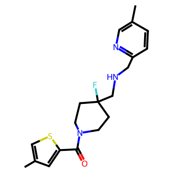 Cc1ccc(CNCC2(F)CCN(C(=O)c3cc(C)cs3)CC2)nc1